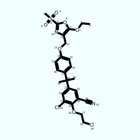 CCOc1oc(S(C)(=O)=O)nc1COc1ccc(C(C)(C)c2cc(Cl)c(OCCCl)c(C#N)c2)cc1